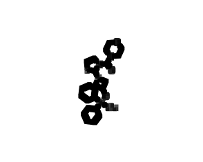 CC(C)(C)[Si](OC1CN(C2SC=CN2C(=O)N2CCOCC2)C1)(c1ccccc1)c1ccccc1